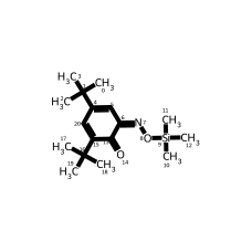 CC(C)(C)C1=CC(=NO[Si](C)(C)C)C(=O)C(C(C)(C)C)=C1